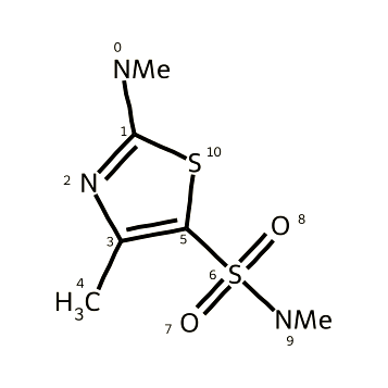 CNc1nc(C)c(S(=O)(=O)NC)s1